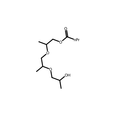 CCCC(=O)OCC(C)OCC(C)OCC(C)O